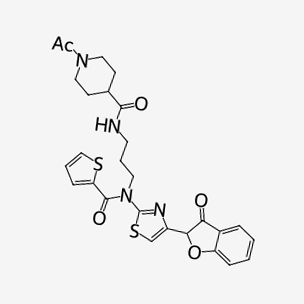 CC(=O)N1CCC(C(=O)NCCCN(C(=O)c2cccs2)c2nc(C3Oc4ccccc4C3=O)cs2)CC1